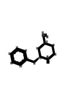 CN1CCN[C@H](Cc2ccccc2)C1